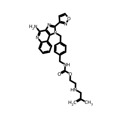 C=C(C)CNCCOC(=O)NCc1ccc(Cn2c(-c3ccon3)nc3c(N)nc4ccccc4c32)cc1